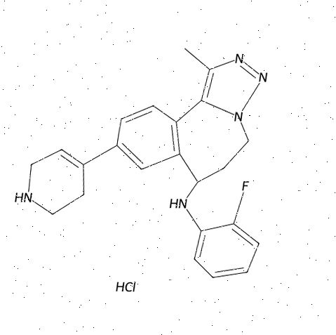 Cc1nnn2c1-c1ccc(C3=CCNCC3)cc1C(Nc1ccccc1F)CC2.Cl